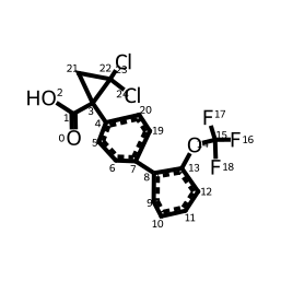 O=C(O)C1(c2ccc(-c3ccccc3OC(F)(F)F)cc2)CC1(Cl)Cl